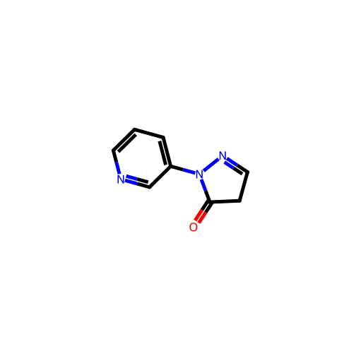 O=C1CC=NN1c1cccnc1